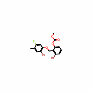 COC(=O)Oc1cccc(Br)c1COc1cc(F)c(C)cc1Br